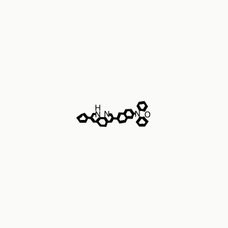 C1=C(c2ccccc2)CNC2=C1CCc1cc(-c3ccc4cc(N5c6ccccc6Oc6ccccc65)ccc4c3)cnc12